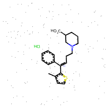 Cc1ccsc1/C(=C/CCN1CCCC(C(=O)O)C1)c1ccccc1.Cl